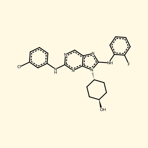 O[C@H]1CC[C@H](n2c(Nc3ccccc3F)nc3cnc(Nc4cccc(Cl)c4)nc32)CC1